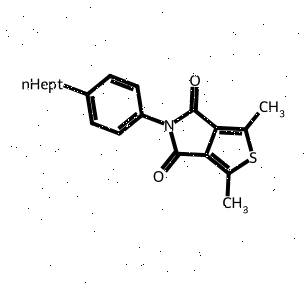 CCCCCCCc1ccc(N2C(=O)c3c(C)sc(C)c3C2=O)cc1